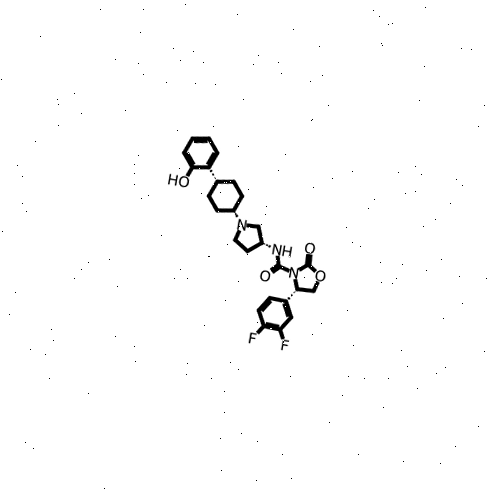 O=C(N[C@@H]1CCN([C@H]2CC[C@@H](c3ccccc3O)CC2)C1)N1C(=O)OC[C@@H]1c1ccc(F)c(F)c1